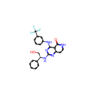 O=c1[nH]ccc2nc(N[C@H](CO)c3ccccc3)nc(Nc3cccc(C(F)(F)F)c3)c12